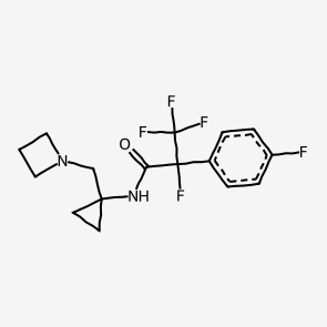 O=C(NC1(CN2CCC2)CC1)C(F)(c1ccc(F)cc1)C(F)(F)F